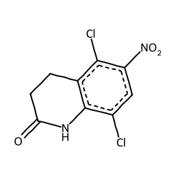 O=C1CCc2c(Cl)c([N+](=O)[O-])cc(Cl)c2N1